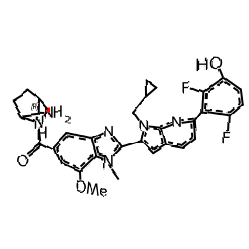 COc1cc(C(=O)N2CC3CCC2[C@@H]3N)cc2nc(-c3cc4ccc(-c5c(F)ccc(O)c5F)nc4n3CC3CC3)n(C)c12